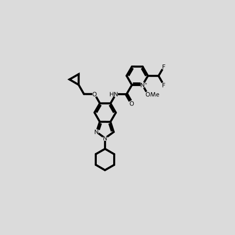 CO[n+]1c(C(=O)Nc2cc3cn(C4CCCCC4)nc3cc2OCC2CC2)cccc1C(F)F